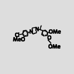 COCCOc1ccc(C(C)N2CCN(c3ccc(Cl)c(OC)c3)CC2)cc1OC